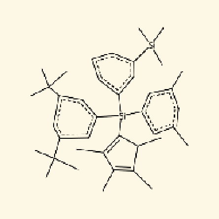 CC1=C(C)C(C)C([Si](c2cc(C)cc(C)c2)(c2cc(C(C)(C)C)cc(C(C)(C)C)c2)c2cccc([Si](C)(C)C)c2)=C1C